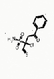 NS(=O)(=O)C(Cl)([C]=S)CC(=O)c1ccccc1